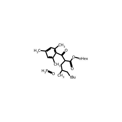 CCCCCCOC(=O)C(CC(C)CC(C)(C)C)C(=O)c1c(C)cc(C)cc1C.O=[PH3]